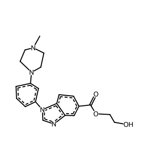 CN1CCN(c2cccc(-n3cnc4cc(C(=O)OCCO)ccc43)c2)CC1